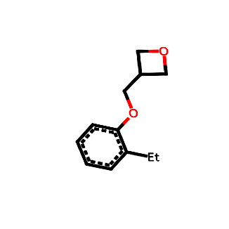 CCc1ccccc1OCC1COC1